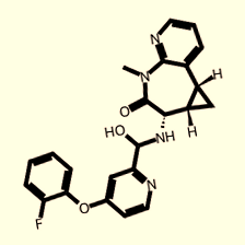 CN1C(=O)[C@@H](NC(O)c2cc(Oc3ccccc3F)ccn2)[C@H]2C[C@H]2c2cccnc21